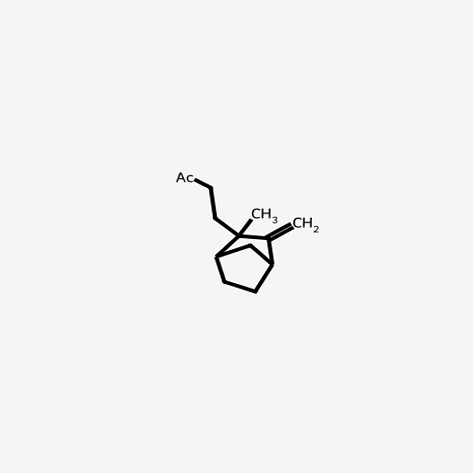 C=C1C2CCC(C2)C1(C)CCC(C)=O